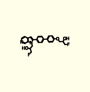 OC(CF)COc1ccc(-c2ccc(-c3cc4ccncc4n3CC(O)CF)cc2)cc1